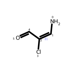 N/C=C(/Cl)C=O